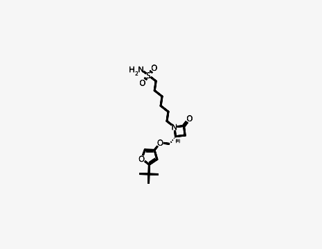 CC(C)(C)c1cc(OC[C@H]2CC(=O)N2CCCCCCS(N)(=O)=O)co1